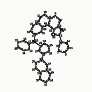 c1ccc(-c2nc3ccc4ccc5ccc(N(c6ccccc6)c6cccc(-c7ccc8ccccc8c7)c6)cc5c4c3o2)cc1